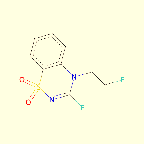 O=S1(=O)N=C(F)N(CCF)c2ccccc21